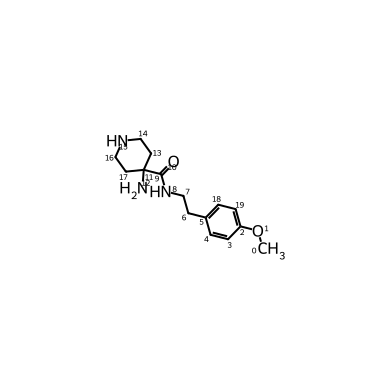 COc1ccc(CCNC(=O)C2(N)CCNCC2)cc1